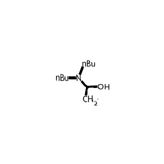 [CH2]C(O)N(CCCC)CCCC